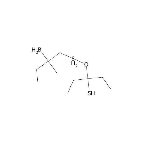 BC(C)(CC)C[SH2]OC(S)(CC)CC